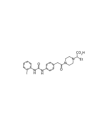 CCC(C(=O)O)N1CCN(C(=O)Cc2ccc(NC(=O)Nc3ccccc3C)cc2)CC1